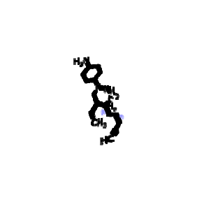 C#C/C=C\C=C(/C)C(CC)CN(N)C1CCC(N)CC1